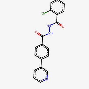 O=C(NNC(=O)c1ccccc1Cl)c1ccc(-c2cccnc2)cc1